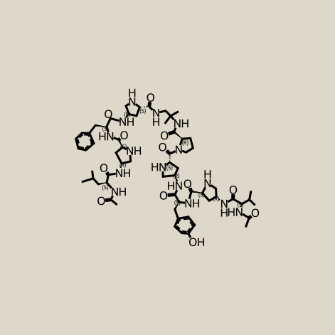 CC(=O)N[C@@H](CC(C)C)C(=O)N[C@H]1CN[C@H](C(=O)N[C@@H](Cc2ccccc2)C(=O)N[C@H]2CN[C@H](C(=O)NCC(C)(C)NC(=O)[C@H]3CCCN3C(=O)[C@@H]3C[C@@H](NC(=O)[C@H](Cc4ccc(O)cc4)NC(=O)[C@@H]4C[C@@H](NC(=O)[C@@H](NC(C)=O)C(C)C)CN4)CN3)C2)C1